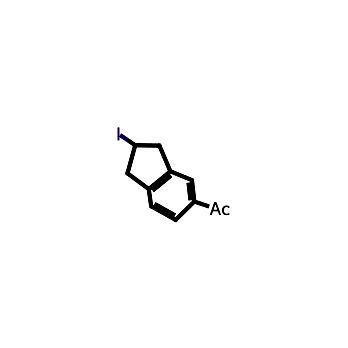 CC(=O)c1ccc2c(c1)CC(I)C2